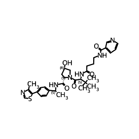 Cc1ncsc1-c1ccc([C@H](C)NC(=O)[C@@H]2C[C@@H](O)CN2C(=O)[C@@H](NC(=O)CCCNC(=O)c2cccnc2)C(C)(C)C)cc1